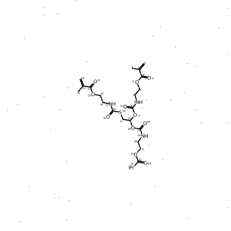 C=C(C)C(=O)OCCNC(=O)OC(CSC(=O)NCCOC(=O)C(=C)C)OC(=O)NCCOC(=O)C(C)C